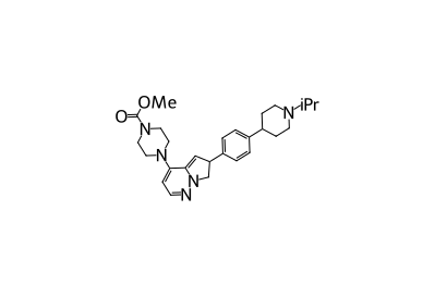 COC(=O)N1CCN(C2=CC=NN3CC(c4ccc(C5CCN(C(C)C)CC5)cc4)C=C23)CC1